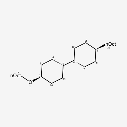 CCCCCCCCO[C@H]1CC[C@H]([C@H]2CC[C@H](CCCCCCCC)CC2)CC1